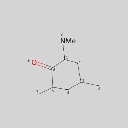 CNC1CC(C)CC(C)C1=O